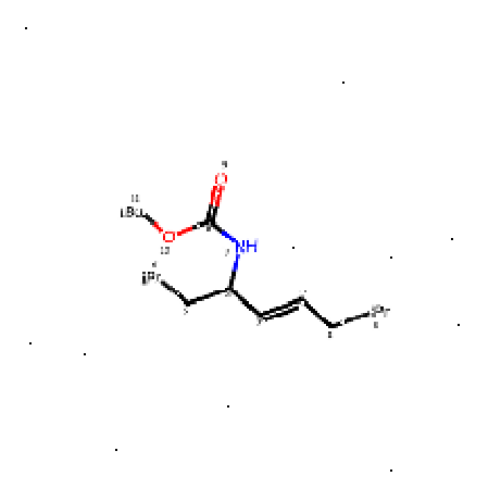 CC(C)CC=CC(CC(C)C)NC(=O)OC(C)(C)C